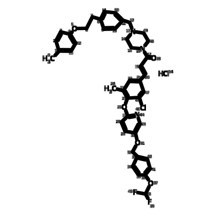 Cc1ccc(OCCc2ccc(CN3CCN(C(=O)C=Cc4cc(C)c(Oc5ccc(OCc6ccc(OC(F)F)cc6)cn5)c(Cl)c4)CC3)cc2)cc1.Cl